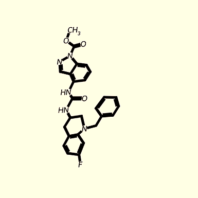 COC(=O)n1ncc2c(NC(=O)NC3Cc4ccc(F)cc4N(Cc4ccccc4)C3)cccc21